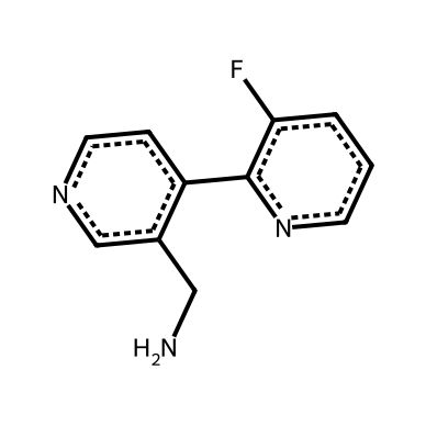 NCc1cnccc1-c1ncccc1F